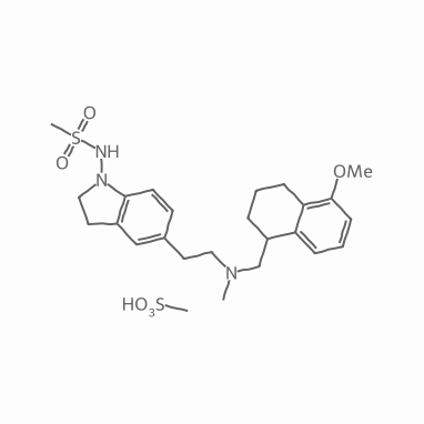 COc1cccc2c1CCCC2CN(C)CCc1ccc2c(c1)CCN2NS(C)(=O)=O.CS(=O)(=O)O